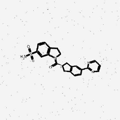 NS(=O)(=O)c1ccc2c(c1)N(C(=O)[C@@H]1Cc3ccc(-c4ncccn4)cc3C1)CC2